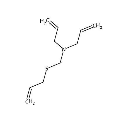 C=CCS[CH]N(CC=C)CC=C